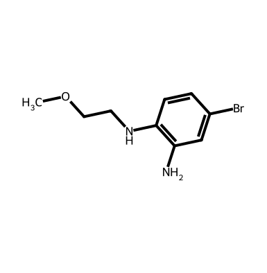 COCCNc1ccc(Br)cc1N